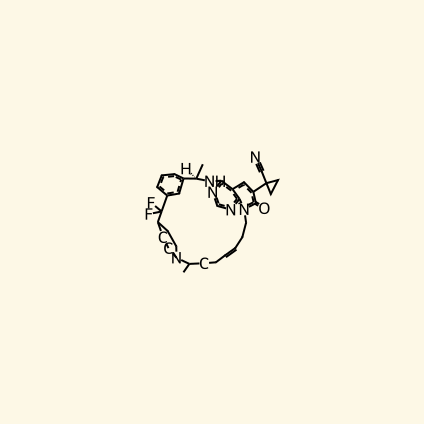 CC1CC/C=C\CCn2c(=O)c(C3(C#N)CC3)cc3c(ncnc32)N[C@H](C)c2cccc(c2)C(F)(F)C2CCN1CC2